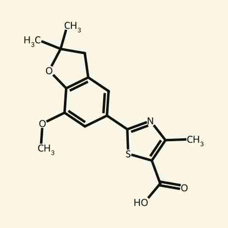 COc1cc(-c2nc(C)c(C(=O)O)s2)cc2c1OC(C)(C)C2